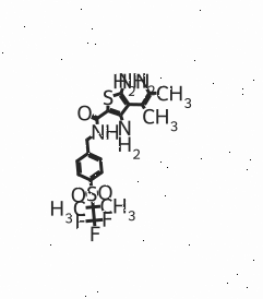 C/C(N)=C(\C)c1c(N)sc(C(=O)NCc2ccc(S(=O)(=O)C(C)(C)C(F)(F)F)cc2)c1N